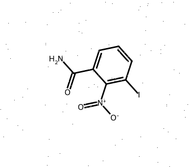 NC(=O)c1cccc(I)c1[N+](=O)[O-]